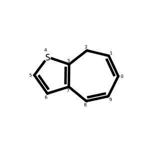 C1=CCc2sccc2C=C1